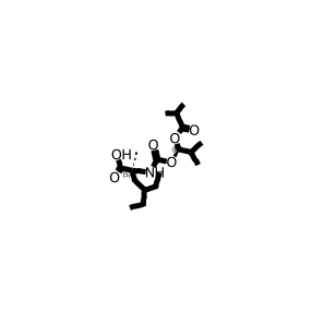 CCC(CC)C[C@](C)(NC(=O)O[C@@H](OC(=O)C(C)C)C(C)C)C(=O)O